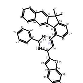 CC1(C)c2cc3ccccc3cc2-c2c(/C=C/C(NC(N)c3ccccc3)c3cc4ccccc4o3)cccc21